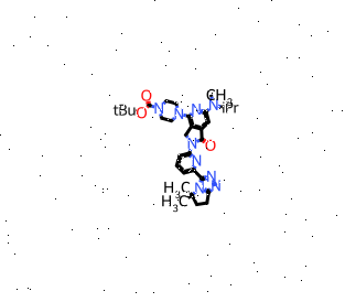 CC(C)N(C)c1cc2c(c(N3CCN(C(=O)OC(C)(C)C)CC3)n1)CN(c1cccc(-c3nnc4n3C(C)(C)CC4)n1)C2=O